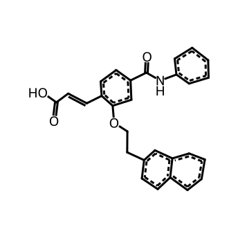 O=C(O)/C=C/c1ccc(C(=O)Nc2ccccc2)cc1OCCc1ccc2ccccc2c1